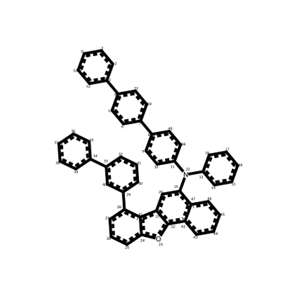 c1ccc(-c2ccc(-c3ccc(N(c4ccccc4)c4cc5c(oc6cccc(-c7cccc(-c8ccccc8)c7)c65)c5ccccc45)cc3)cc2)cc1